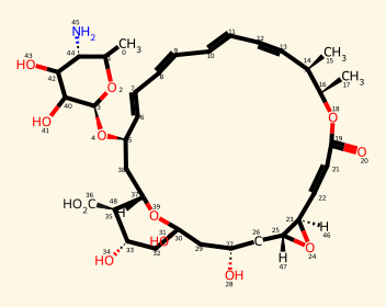 CC1O[C@@H](O[C@H]2/C=C/C=C/C=C/C=C\[C@@H](C)[C@@H](C)OC(=O)/C=C/[C@H]3O[C@@H]3C[C@H](O)C[C@]3(O)C[C@H](O)[C@@H](C(=O)O)[C@H](C2)O3)C(O)C(O)[C@@H]1N